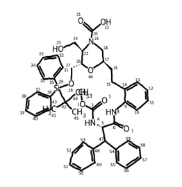 COC(=O)N[C@H](C(=O)Nc1ccccc1CC[C@@H]1CN(C(=O)O)[C@H](CO)[C@@H](CO[Si](c2ccccc2)(c2ccccc2)C(C)(C)C)O1)C(c1ccccc1)c1ccccc1